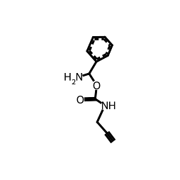 C#CCNC(=O)OC(N)c1ccccc1